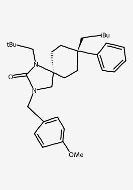 CCC(C)C[C@]1(c2ccccc2)CC[C@]2(CC1)CN(Cc1ccc(OC)cc1)C(=O)N2CC(C)(C)C